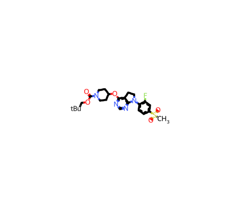 CC(C)(C)COC(=O)N1CCC(Oc2ncnc3c2CCN3c2ccc(S(C)(=O)=O)cc2F)CC1